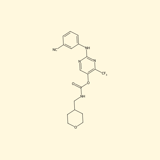 N#Cc1cccc(Nc2ncc(OC(=O)NCC3CCOCC3)c(C(F)(F)F)n2)c1